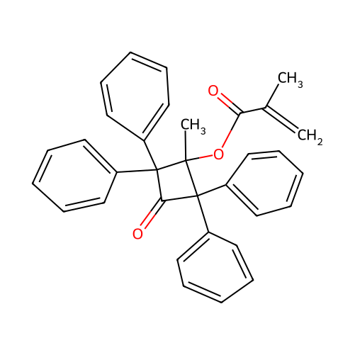 C=C(C)C(=O)OC1(C)C(c2ccccc2)(c2ccccc2)C(=O)C1(c1ccccc1)c1ccccc1